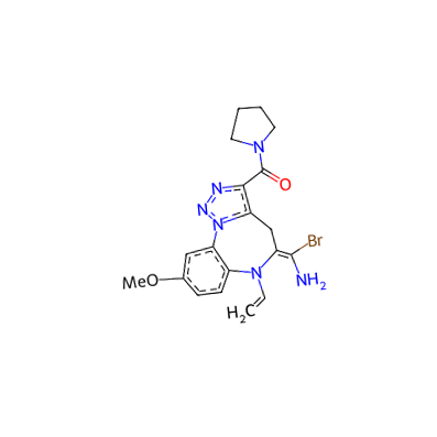 C=CN1/C(=C(\N)Br)Cc2c(C(=O)N3CCCC3)nnn2-c2cc(OC)ccc21